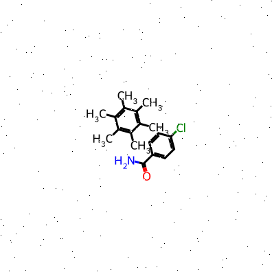 Cc1c(C)c(C)c(C)c(C)c1C.NC(=O)c1ccc(Cl)cc1